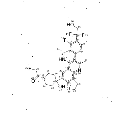 Cc1nc(N[C@H](C)c2cccc(C(F)(F)CO)c2F)c2cc(C3(O)CCN(C(=O)CF)CC3)c3c(c2n1)CCO3